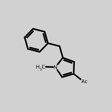 CC(=O)c1cc(Cc2ccccc2)n(C)c1